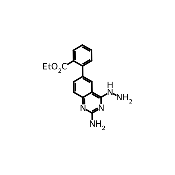 CCOC(=O)c1ccccc1-c1ccc2nc(N)nc(NN)c2c1